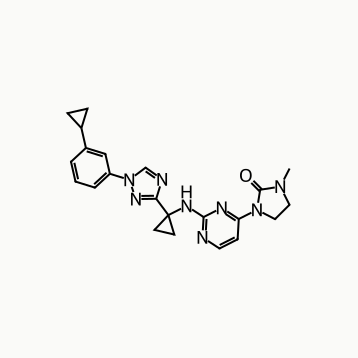 CN1CCN(c2ccnc(NC3(c4ncn(-c5cccc(C6CC6)c5)n4)CC3)n2)C1=O